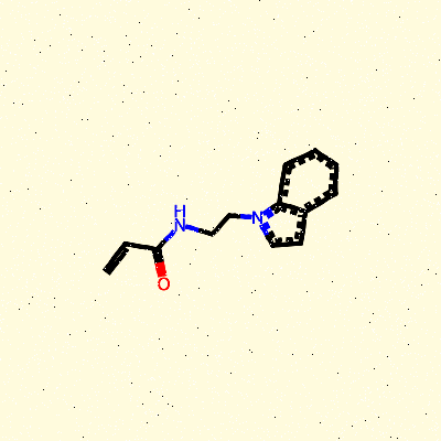 C=CC(=O)NCCn1ccc2ccccc21